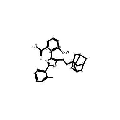 Cc1ccccc1-c1nc(-c2c(C(N)=O)cccc2C(=O)O)c(CCC23CC4CC(CC(C4)C2)C3)[nH]1